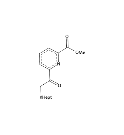 CCCCCCCCC(=O)c1cccc(C(=O)OC)n1